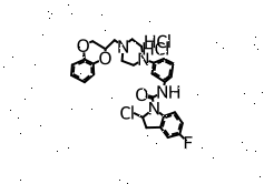 Cl.Cl.O=C(Nc1cccc(N2CCN(CC3COc4ccccc4O3)CC2)c1)N1c2ccc(F)cc2CC1Cl